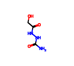 NC(=O)NNC(=O)CO